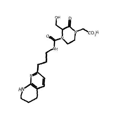 O=C(O)CN1CCN(C(=O)NCCCc2ccc3c(n2)NCCC3)C(CO)C1=O